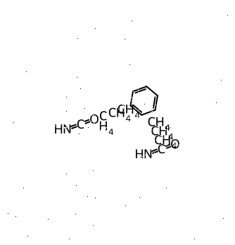 C.C.C.C.C.C.N=C=O.N=C=O.c1ccccc1